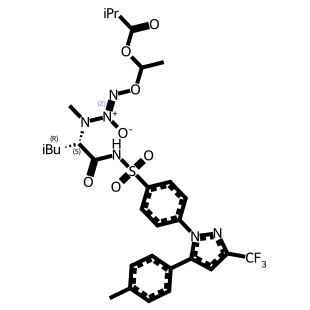 CC[C@@H](C)[C@@H](C(=O)NS(=O)(=O)c1ccc(-n2nc(C(F)(F)F)cc2-c2ccc(C)cc2)cc1)N(C)/[N+]([O-])=N/OC(C)OC(=O)C(C)C